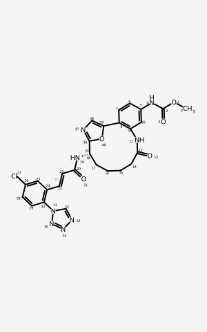 COC(=O)Nc1ccc2c(c1)NC(=O)CCCC[C@H](NC(=O)/C=C/c1cc(Cl)ccc1-n1cnnn1)c1ncc-2o1